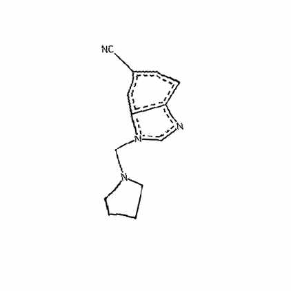 N#Cc1ccc2ncn(CN3CCCC3)c2c1